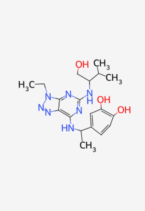 CCn1nnc2c(NC(C)c3ccc(O)c(O)c3)nc(NC(CO)C(C)C)nc21